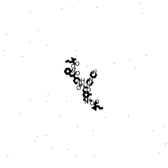 C=CCC1(C(=O)OCn2ncc3cc(C[C@@H](NC(=O)N4CCC(c5cc6ccccc6n(COC(=O)C6(CC=C)CC6)c5=O)CC4)C(=O)N4CCN(C5CCN(C)CC5)CC4)cc(C)c32)CC1